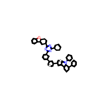 C1=CCCC(c2nc(C3=CCC4Oc5ccccc5C4=C3)nc(-c3cccc(-c4cccc(-c5ccc6c(c5)c5cccc(-c7ccccc7)c5n6-c5ccccc5)c4)c3)n2)=C1